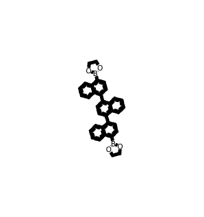 c1ccc2c(-c3ccc(-c4ccc(B5OCCO5)c5ccccc45)c4ccccc34)ccc(B3OCCO3)c2c1